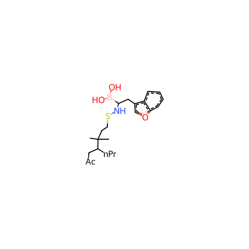 CCCC(CC(C)=O)C(C)(C)CCSNC(Cc1coc2ccccc12)B(O)O